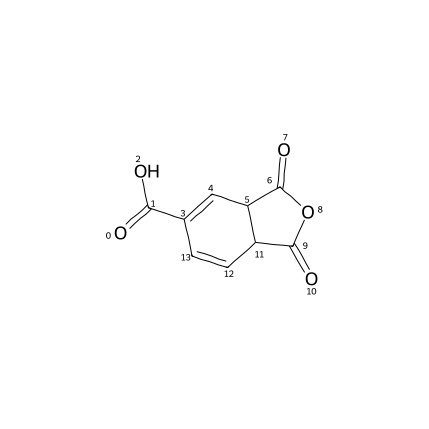 O=C(O)C1=CC2C(=O)OC(=O)C2C=C1